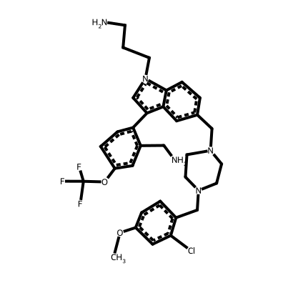 COc1ccc(CN2CCN(Cc3ccc4c(c3)c(-c3ccc(OC(F)(F)F)cc3CN)cn4CCCN)CC2)c(Cl)c1